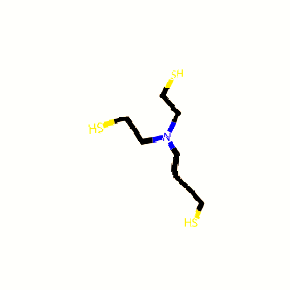 SCCCN(CCS)CCS